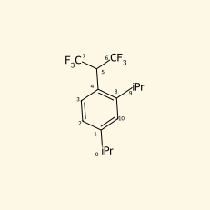 CC(C)c1ccc(C(C(F)(F)F)C(F)(F)F)c(C(C)C)c1